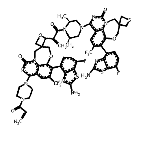 C=CC(=O)N1CCN(c2nc(=O)n3c4c(c(-c5ccc(F)c6sc(N)nc56)c(C(F)(F)F)cc24)OCC2(COC2C(=C)C(=O)N2[C@H](C)CN(c4nc(=O)n5c6c(c(-c7ccc(F)c8sc(N)nc78)c(C(F)(F)F)cc46)OCC4(CSC4)C5)C[C@@H]2C)C3)CC1